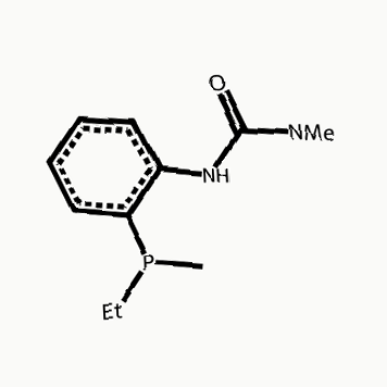 CCP(C)c1ccccc1NC(=O)NC